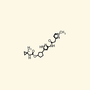 Cn1ccc(CC(=O)Nc2cc(C3CCC(OC(=O)NC4(C)CC4)C3)[nH]n2)n1